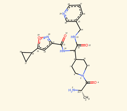 C[C@H](N)C(=O)N1CCC(C(NC(=O)c2cc(C3CC3)on2)C(=O)NCc2cccnc2)CC1